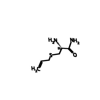 C=CCSC[C@H](N)C(N)=O